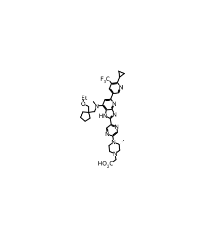 CCOCC1(CN(C)c2cc(-c3cnc(C4CC4)c(C(F)(F)F)c3)nc3nc(-c4cnc(N5CCN(CC(=O)O)C[C@H]5C)cn4)[nH]c23)CCCC1